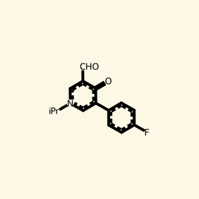 CC(C)n1cc(C=O)c(=O)c(-c2ccc(F)cc2)c1